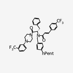 CCCCCc1ccc(CN(C(=O)/C=C/c2ccc(C(F)(F)F)cc2)[C@@H](Cc2ccccc2)C(=O)N2CCN(c3cccc(C(F)(F)F)c3)CC2)cc1